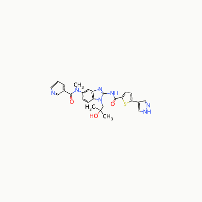 CN(C(=O)c1cccnc1)c1ccc2c(c1)nc(NC(=O)c1ccc(-c3cn[nH]c3)s1)n2CC(C)(C)O